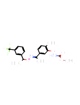 COC(=O)NOc1cc(/C(C)=N/OC(C)c2cccc(C(F)(F)F)c2)ccc1C